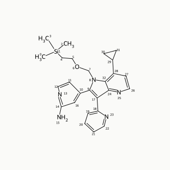 C[Si](C)(C)CCOCn1c(-c2ccnc(N)c2)c(-c2ccccn2)c2nccc(C3CC3)c21